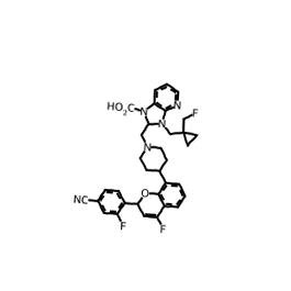 N#Cc1ccc(C2C=C(F)c3cccc(C4CCN(CC5N(CC6(CF)CC6)c6ncccc6N5C(=O)O)CC4)c3O2)c(F)c1